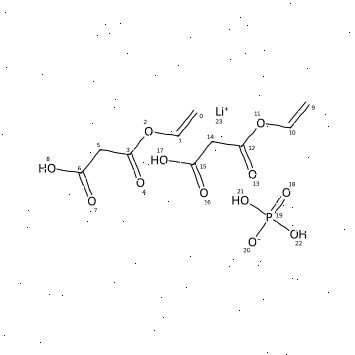 C=COC(=O)CC(=O)O.C=COC(=O)CC(=O)O.O=P([O-])(O)O.[Li+]